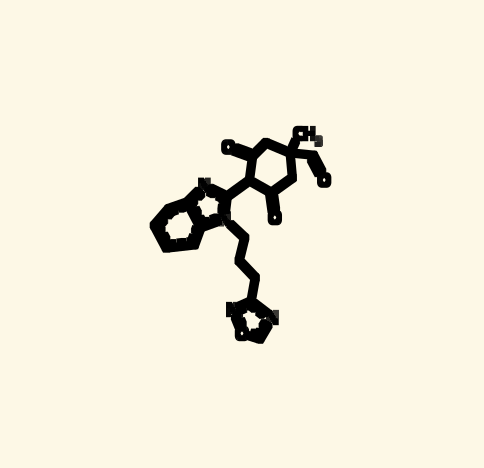 CC1(C=O)CC(=O)C(c2nc3ccccc3n2CCCc2ncon2)C(=O)C1